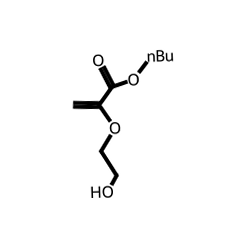 C=C(OCCO)C(=O)OCCCC